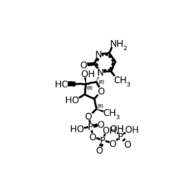 C#C[C@@]1(O)C(O)C([C@@H](C)OP(=O)(O)OP(=O)(O)OP(=O)(O)O)O[C@H]1n1c(C)cc(N)nc1=O